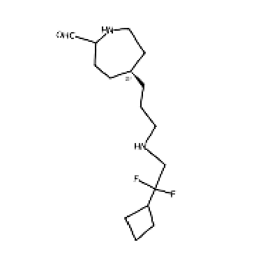 O=CC1CC[C@H](CCCNCC(F)(F)C2CCC2)CCN1